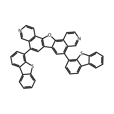 c1ccc2c(c1)sc1c(-c3cc4c5cc(-c6cccc7c6sc6ccccc67)c6cnccc6c5oc4c4ccncc34)cccc12